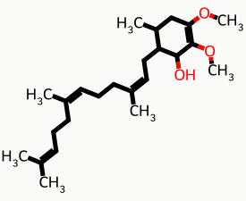 COC1=C(OC)C(O)C(CC=C(C)CCC=C(C)CCC=C(C)C)C(C)C1